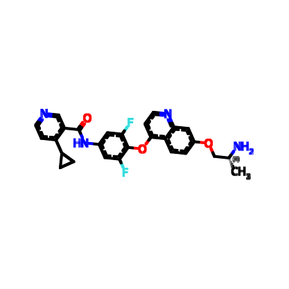 C[C@@H](N)COc1ccc2c(Oc3c(F)cc(NC(=O)c4cnccc4C4CC4)cc3F)ccnc2c1